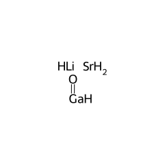 [LiH].[O]=[GaH].[SrH2]